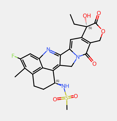 CC[C@@]1(O)C(=O)OCc2c1cc1n(c2=O)Cc2c-1nc1cc(F)c(C)c3c1c2[C@@H](NS(C)(=O)=O)CC3